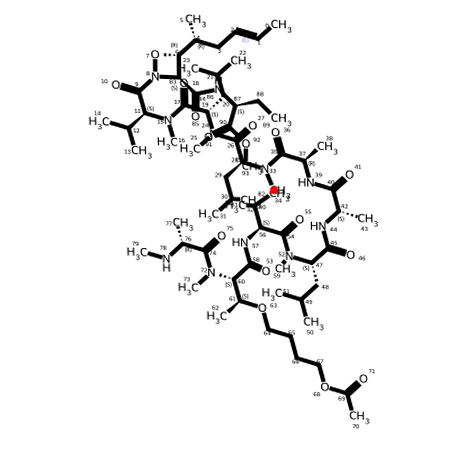 C/C=C/C[C@@H](C)[C@H]1ON(C(=O)[C@H](C(C)C)N(C)C(=O)[C@H](CC(C)C)N(C)C(=O)[C@H](CC(C)C)N(C)C(=O)[C@@H](C)NC(=O)[C@H](C)NC(=O)[C@H](CC(C)C)N(C)C(=O)[C@@H](NC(=O)[C@H]([C@H](C)OCCCCOC(C)=O)N(C)C(=O)[C@@H](C)NC)C(C)C)[C@@H]1C(=O)N[C@@H](CC)C(=O)OC